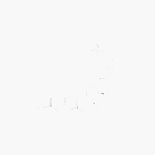 CCCCCC(=O)Nc1ccn([C@@H]2O[C@H](COP(=O)(O)OP(=O)(O)OP(=O)(O)O)[C@@H](O)[C@H]2O)c(=O)n1